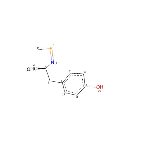 C/P=N\[C@H](C=O)Cc1ccc(O)cc1